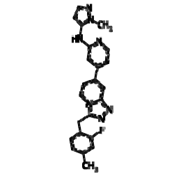 Cc1ccc(Cc2nnc3cc(-c4ccnc(Nc5ccnn5C)c4)ccn23)c(F)c1